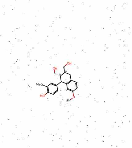 COc1cc(C2c3cc(OC(C)C)ccc3C[C@H](CO)[C@H]2CO)ccc1O